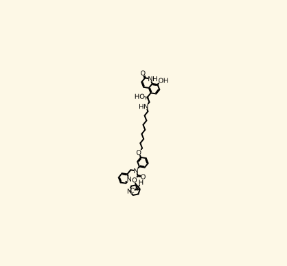 O=C(O[C@H]1CN2CCC1CC2)N(Cc1ccccn1)c1cccc(OCCCCCCCCCNC[C@H](O)c2ccc(O)c3[nH]c(=O)ccc23)c1